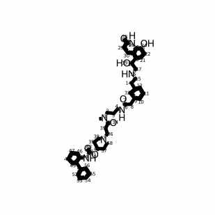 CN(CCCNC(=O)Cc1cccc(CCNC[C@H](O)c2ccc(O)c3[nH]c(=O)ccc23)c1)C(=O)CCN1CCC(OC(=O)Nc2ccccc2-c2ccccc2)CC1